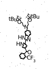 CC(C)(C)[Si](C)(C)OCCN(CCO[Si](C)(C)C(C)(C)C)c1ccc2nc(-c3cc(C(=O)c4ccccc4C(F)(F)F)c[nH]3)[nH]c2c1